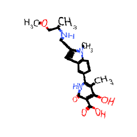 COCC(C)NCc1cc2cc(-c3[nH]c(=O)c(C(=O)O)c(O)c3C)ccc2n1C